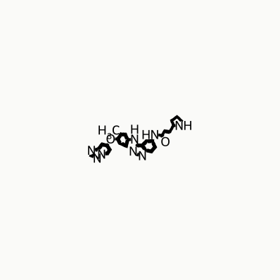 Cc1cc(Nc2ncnc3ccc(NC(=O)/C=C/C4CCCN4)cc23)ccc1Oc1ccn2ncnc2c1